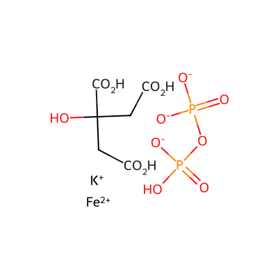 O=C(O)CC(O)(CC(=O)O)C(=O)O.O=P([O-])([O-])OP(=O)([O-])O.[Fe+2].[K+]